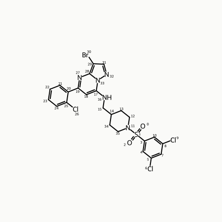 O=S(=O)(c1cc(Cl)cc(Cl)c1)N1CCC(CNc2cc(-c3ccccc3Cl)nc3c(Br)cnn23)CC1